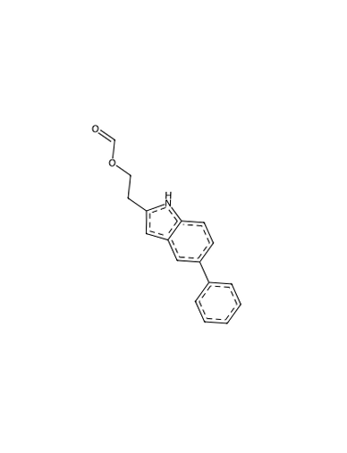 O=COCCc1cc2cc(-c3ccccc3)ccc2[nH]1